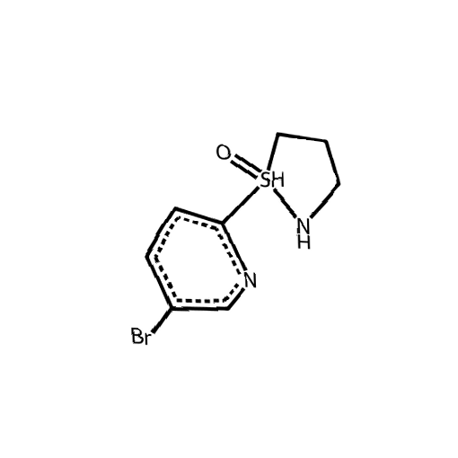 O=[SH]1(c2ccc(Br)cn2)CCCN1